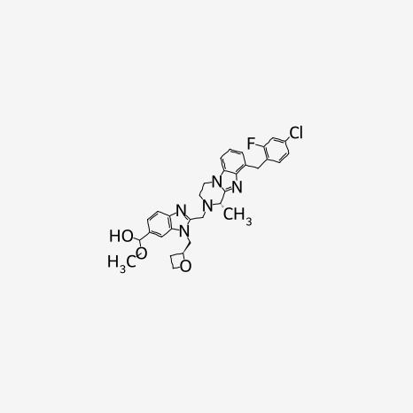 COC(O)c1ccc2nc(CN3CCn4c(nc5c(Cc6ccc(Cl)cc6F)cccc54)[C@@H]3C)n(C[C@@H]3CCO3)c2c1